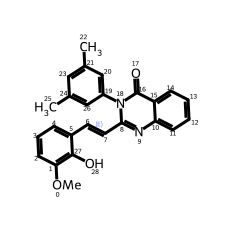 COc1cccc(/C=C/c2nc3ccccc3c(=O)n2-c2cc(C)cc(C)c2)c1O